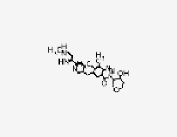 CN/C=C\C(=N)c1ccc(Cc2cc3c(=O)n([C@H]4COCC[C@@H]4O)nnc3c(C)c2C)cn1